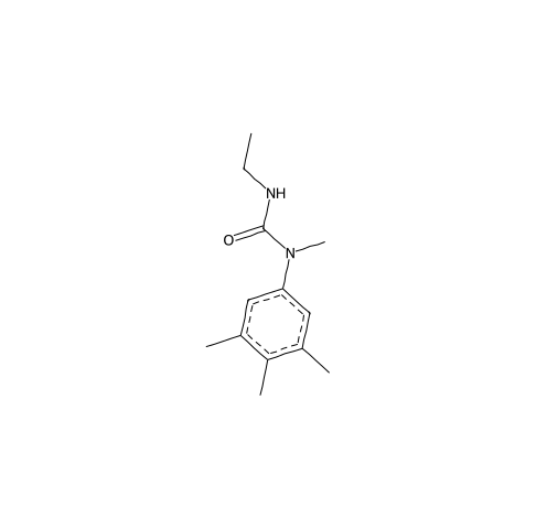 CCNC(=O)N(C)c1cc(C)c(C)c(C)c1